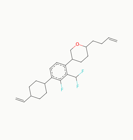 C=CCCC1CCC(c2ccc(C3CCC(C=C)CC3)c(F)c2C(F)F)CO1